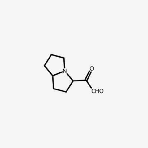 O=CC(=O)C1CCC2CCCN21